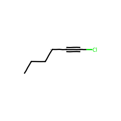 CCC[CH]C#CCl